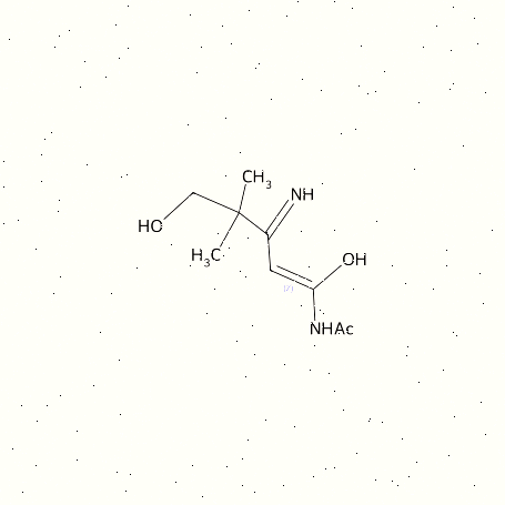 CC(=O)N/C(O)=C/C(=N)C(C)(C)CO